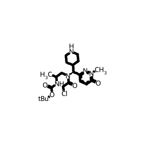 CC(CN(C(=O)CCl)[C@H](c1ccc(=O)n(C)n1)C1CCNCC1)NC(=O)OC(C)(C)C